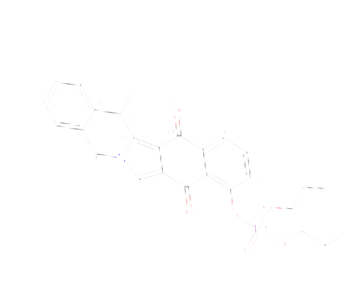 CCCOP(=O)(OCCC)Oc1cccc2c1C(=O)c1cn3c(c1C2=O)C(C)c1ccccc1C3